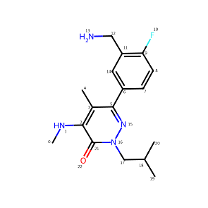 CNc1c(C)c(-c2ccc(F)c(CN)c2)nn(CC(C)C)c1=O